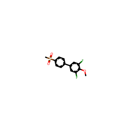 COc1c(F)cc(-c2ccc(S(C)(=O)=O)cc2)cc1F